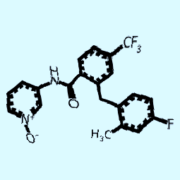 Cc1cc(F)ccc1Cc1cc(C(F)(F)F)ccc1C(=O)Nc1ccc[n+]([O-])c1